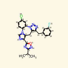 CC(C)c1noc(-c2ncn3c2Cc2c(Cc4cccc(F)c4)nnn2-c2cc(Cl)ccc2-3)n1